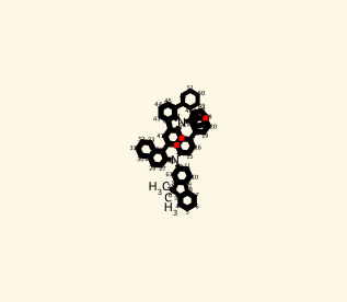 CC1(C)c2ccccc2-c2ccc(N(c3ccc(-c4ccccc4)cc3)c3ccc4ccccc4c3-c3ccc4c(c3)c3cccc(C5CCCCC5)c3n4-c3ccccc3)cc21